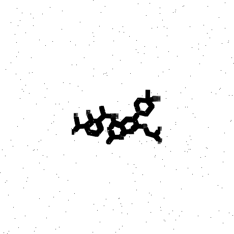 Cc1nc(NC(C)c2cccc(C(F)F)c2F)c2cc(N3CCC(C)(O)CC3)c(OCC(F)F)nc2n1